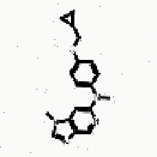 CN(c1ccc(OCC2CC2)cc1)c1cc2c(cn1)ncn2C